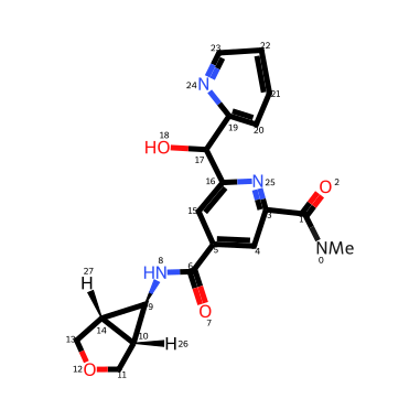 CNC(=O)c1cc(C(=O)N[C@H]2[C@@H]3COC[C@@H]32)cc(C(O)c2ccccn2)n1